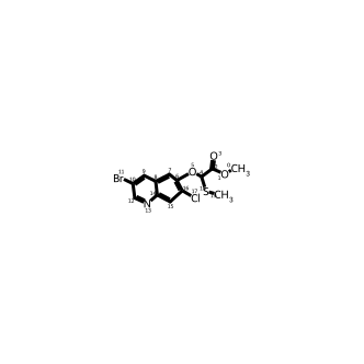 COC(=O)C(Oc1cc2cc(Br)cnc2cc1Cl)SC